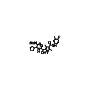 CNC(=O)[C@@H](NC(=O)C(O)c1c(C)c(C(=O)Nc2ccc(F)c(C)c2)c(C)n1C)C1CCCC1